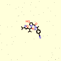 CC(C)c1cc(C(C(=O)N2CC(O)CC2C(=O)NC(C)c2ccc(C#N)cc2)C(C)C)on1